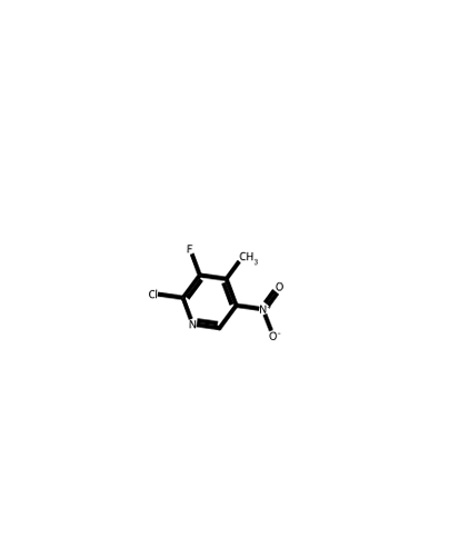 Cc1c([N+](=O)[O-])cnc(Cl)c1F